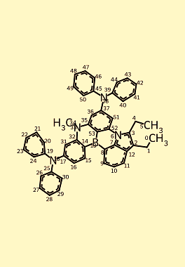 CCc1c(CC)n2c3c(cccc13)B1c3ccc(N(c4ccccc4)c4ccccc4)cc3N(C)c3cc(N(c4ccccc4)c4ccccc4)cc-2c31